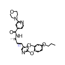 CCCOc1ccc(Oc2ncc(/C=C/[C@H](C)NC(=O)c3ccnc(N4CCOCC4)c3)s2)c(Cl)c1